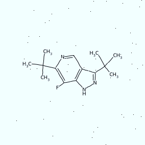 CC(C)(C)c1ncc2c(C(C)(C)C)n[nH]c2c1F